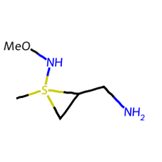 CONS1(C)CC1CN